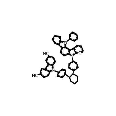 N#Cc1ccc2c(c1)c1cc(C#N)ccc1n2-c1ccc(C2CCCC[C@@H]2c2ccc(-n3c4ccccc4c4c3ccc3c5ccccc5n(-c5ccccc5)c34)cc2)cc1